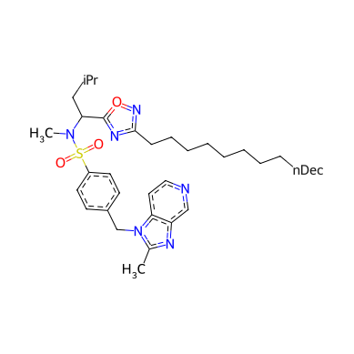 CCCCCCCCCCCCCCCCCCc1noc(C(CC(C)C)N(C)S(=O)(=O)c2ccc(Cn3c(C)nc4cnccc43)cc2)n1